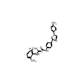 Cc1ccc(-n2cnc(-c3ccc(NC(=O)/N=C(\S)Nc4c(C)cccc4C)cc3)n2)cc1